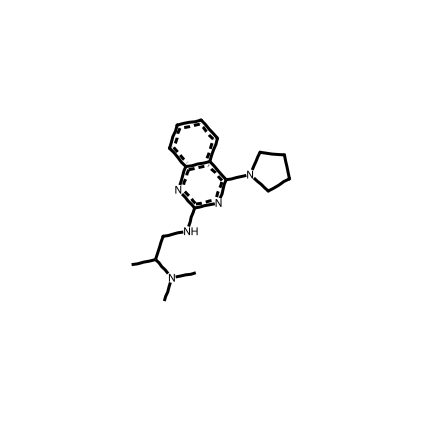 CC(CNc1nc(N2CCCC2)c2ccccc2n1)N(C)C